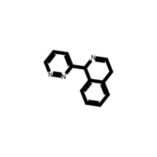 C1=NC(c2cccnn2)c2ccccc2C1